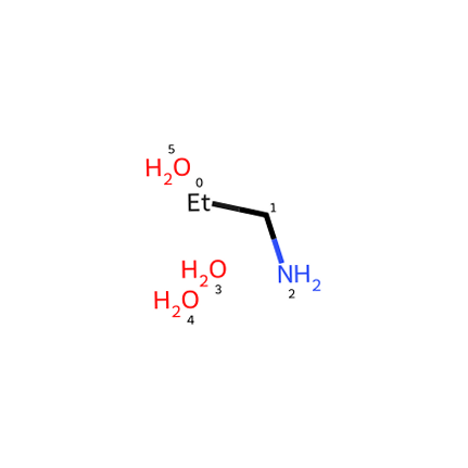 CCCN.O.O.O